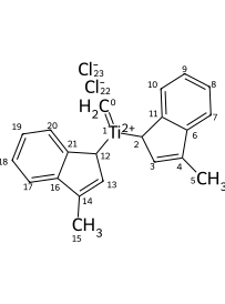 [CH2]=[Ti+2]([CH]1C=C(C)c2ccccc21)[CH]1C=C(C)c2ccccc21.[Cl-].[Cl-]